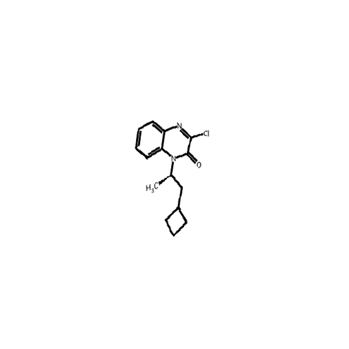 C[C@H](CC1CCC1)n1c(=O)c(Cl)nc2ccccc21